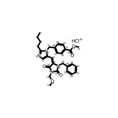 CCCCc1ncc(C=C2C(=O)N(COC)C(=O)N2Cc2ccccc2)n1Cc1ccc(C(=O)OC)cc1.Cl